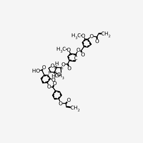 C=CC(=O)Oc1ccc(C(=O)Oc2ccc(C(=O)O)c([C@@H]3CO[C@@H]4[C@@H]3OC[C@H]4OC(=O)c3ccc(OC(=O)c4ccc(OC(=O)C=C)c(OC)c4)c(OC)c3)c2OC)cc1